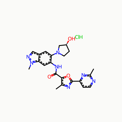 Cc1nccc(-c2nc(C)c(C(=O)Nc3cc4c(cnn4C)cc3N3CC[C@H](O)C3)o2)n1.Cl